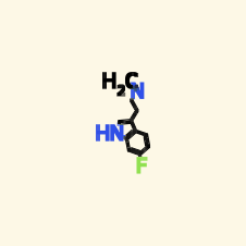 C=NCCc1c[nH]c2cc(F)ccc12